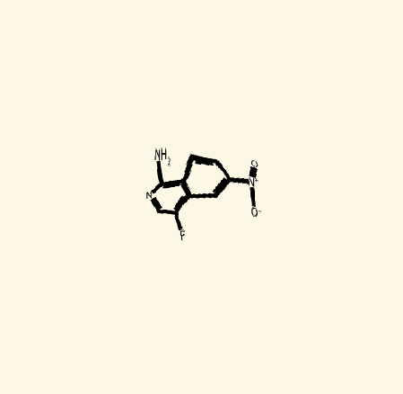 Nc1ncc(F)c2cc([N+](=O)[O-])ccc12